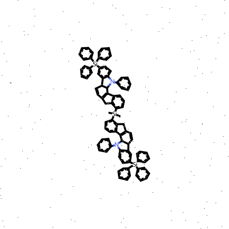 C[Si](C)(c1cccc2c1CC1=C2C2C(C=C1)c1cc([Si](c3ccccc3)(c3ccccc3)c3ccccc3)ccc1N2c1ccccc1)c1cccc2c1CC1=C2C2C(C=C1)c1cc([Si](c3ccccc3)(c3ccccc3)c3ccccc3)ccc1N2c1ccccc1